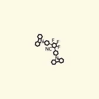 N#Cc1c(-c2ccc(-n3c4ccccc4c4ccccc43)cc2)c(F)c(F)c(F)c1-c1ccc(-n2c3ccccc3c3ccccc32)cc1